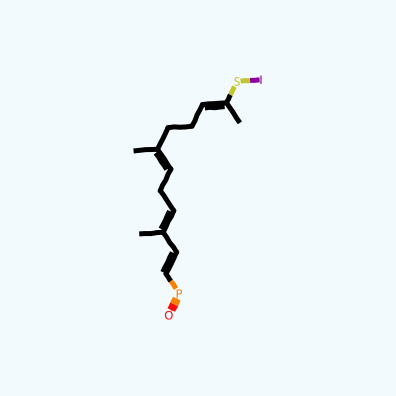 CC(/C=C/P=O)=C\C/C=C(\C)CC/C=C(\C)SI